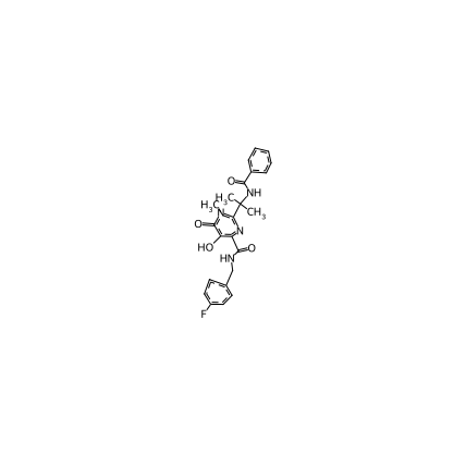 Cn1c(C(C)(C)NC(=O)c2ccccc2)nc(C(=O)NCc2ccc(F)cc2)c(O)c1=O